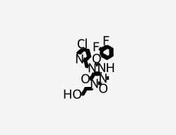 Cn1c2c(c(=O)n(CCCO)c1=O)N(Cc1ccc(Cl)cn1)C(Oc1cccc(F)c1F)N2